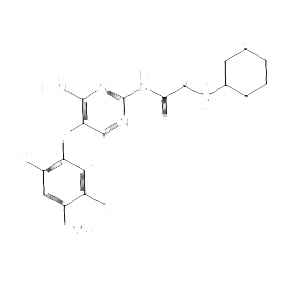 COc1cc(C(C)C)c(Oc2cnc(NC(=O)CNC3CCCCC3)nc2N)cc1I